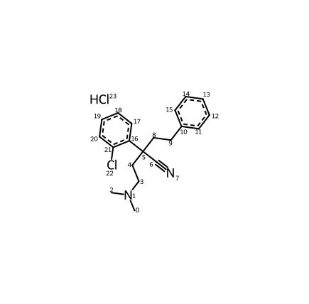 CN(C)CCC(C#N)(CCc1ccccc1)c1ccccc1Cl.Cl